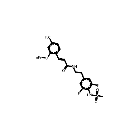 CCCOc1cc(C(F)(F)F)ccc1C=CC(=O)NCCc1cc(F)c(NS(C)(=O)=O)c(F)c1